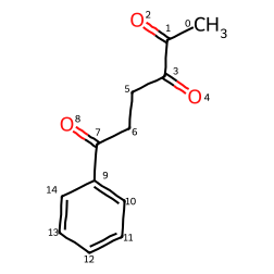 CC(=O)C(=O)CCC(=O)c1ccccc1